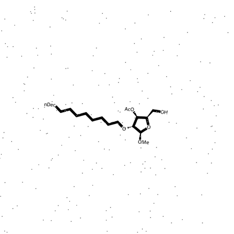 CCCCCCCCCCCCCCCCCCO[C@H]1[C@H](OC)O[C@H](CO)[C@@H]1OC(C)=O